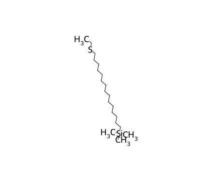 CCSCCCCCCCCCCCCCCC[Si](C)(C)C